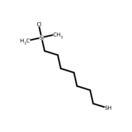 C[Si](C)(Cl)CCCCCCCS